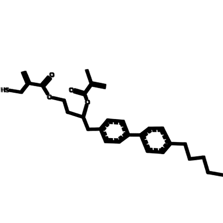 C=C(C)C(=O)OC(CCOC(=O)C(=C)CS)Cc1ccc(-c2ccc(CCCCC)cc2)cc1